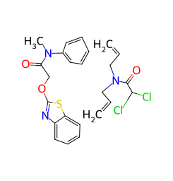 C=CCN(CC=C)C(=O)C(Cl)Cl.CN(C(=O)COc1nc2ccccc2s1)c1ccccc1